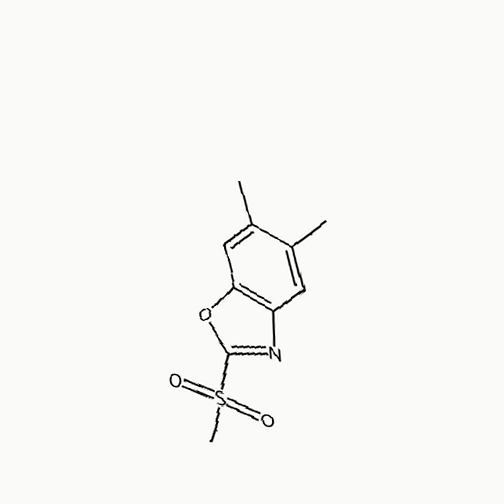 Cc1cc2nc(S(C)(=O)=O)oc2cc1C